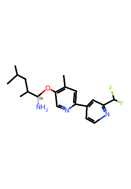 Cc1cc(-c2ccnc(C(F)F)c2)ncc1O[C@H](N)C(C)CC(C)C